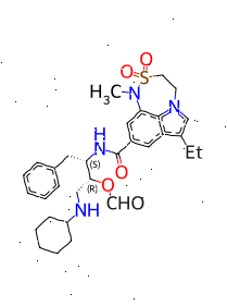 CCc1cn2c3c(cc(C(=O)N[C@@H](Cc4ccccc4)[C@@H](CNC4CCCCC4)OC=O)cc13)N(C)S(=O)(=O)CC2